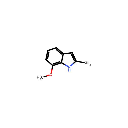 COc1cccc2cc([SiH3])[nH]c12